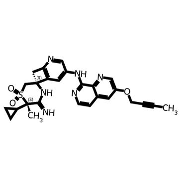 CC#CCOc1cnc2c(Nc3cnc4c(c3)[C@]3(C4)CS(=O)(=O)[C@@](C)(C4CC4)C(=N)N3)nccc2c1